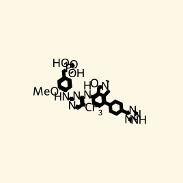 COc1cc(CP(=O)(O)O)ccc1Nc1ncc(C(F)(F)F)c(Nc2ccc(C3CCC(c4nn[nH]n4)CC3)c3c2C(=O)N(C)C3)n1